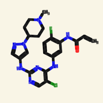 C=CC(=O)Nc1cc(Nc2nc(Nc3cnn(C4CCN(C)CC4)c3)ncc2Cl)ccc1F